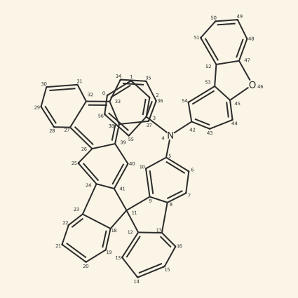 c1ccc(N(c2ccc3c(c2)C2(c4ccccc4-3)c3ccccc3-c3cc4c5ccccc5c5ccccc5c4cc32)c2ccc3oc4ccccc4c3c2)cc1